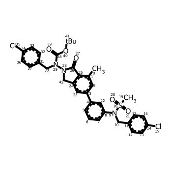 Cc1cc(-c2cccc(N(Cc3ccc(Cl)cc3)S(C)(=O)=O)c2)cc2c1C(=O)N(N(Cc1ccc(Cl)cc1)C(=O)OC(C)(C)C)C2